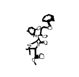 COC(=O)C1N2C(=O)C(NC(=O)C(Oc3ccccc3)Oc3ccccc3)C2SC1(C)C